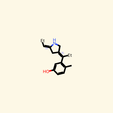 CC/C=C1/C/C(=C(/CC)c2cc(O)ccc2C)CN1